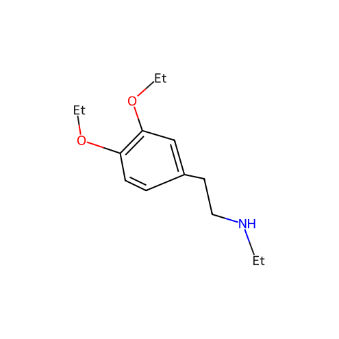 CCNCCc1ccc(OCC)c(OCC)c1